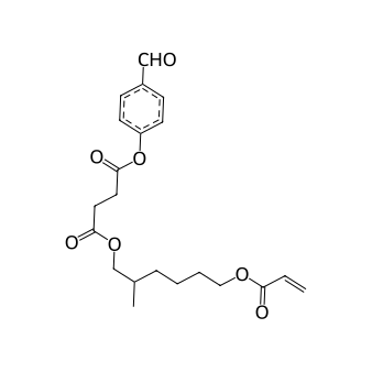 C=CC(=O)OCCCCC(C)COC(=O)CCC(=O)Oc1ccc(C=O)cc1